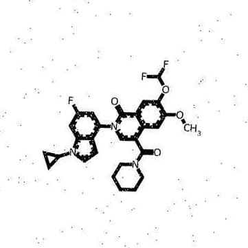 COc1cc2c(C(=O)N3CCCCC3)cn(-c3cc(F)cc4c3ccn4C3CC3)c(=O)c2cc1OC(F)F